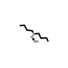 CCCCN(CCCC)N=N